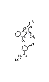 C=C1c2ccccc2C(OCc2ccc(C(=O)NCC)cc2C#N)=NN1/C(=N\C)C1=NC(C)=C1